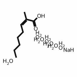 CCCCCC=C(C)C(=O)O.O.O.O.O.O.O.O.[NaH]